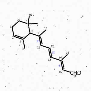 CC1=CCCC(C)(C)C1/C(C)=C/C=C/C(C)=C/C=O